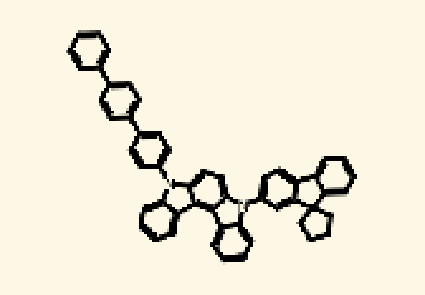 c1ccc(-c2ccc(-c3ccc(-n4c5ccccc5c5c6c7ccccc7n(-c7ccc8c(c7)C7(CCCC7)c7ccccc7-8)c6ccc54)cc3)cc2)cc1